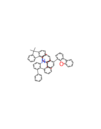 CC1(C)c2ccccc2-c2c(N(c3cccc(-c4cccc5c4oc4ccccc45)c3)c3cccc(-c4ccccc4)c3-c3ccccc3-c3ccccc3)cccc21